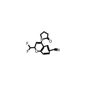 N#Cc1ccc2c(c1)C(N1CCCC1=O)=CC(C(F)F)O2